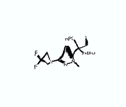 CCCCC(C)(CCC)c1cc(N2CC(F)(F)C2)nn1C